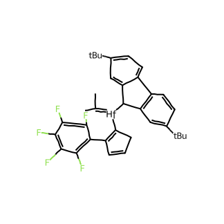 C[C](C)=[Hf]([C]1=C(c2c(F)c(F)c(F)c(F)c2F)C=CC1)[CH]1c2cc(C(C)(C)C)ccc2-c2ccc(C(C)(C)C)cc21